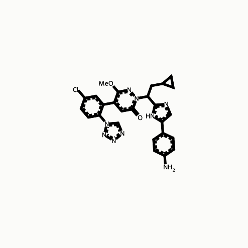 COc1nn(C(CC2CC2)c2ncc(-c3ccc(N)cc3)[nH]2)c(=O)cc1-c1cc(Cl)ccc1-n1cnnn1